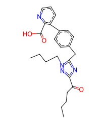 CCCCC(=O)c1nc(Cc2ccc(-c3cccnc3C(=O)O)cc2)n(CCCC)n1